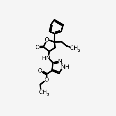 CCCC1(c2ccccc2)CC(Nc2n[nH]cc2C(=O)OCC)C(=O)O1